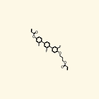 C=CC(=O)OCCCOc1ccc(-c2ccc(-c3ccc(OC(=O)C=C)cc3C)cc2F)cc1F